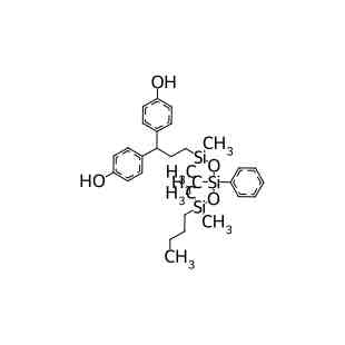 CCCC[Si](C)(C)O[Si](C)(O[Si](C)(C)CCC(c1ccc(O)cc1)c1ccc(O)cc1)c1ccccc1